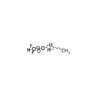 CCCCCC[C@H]1CC[C@@H]2CC(c3ccc(C(=O)Oc4cc(F)c(C#N)c(F)c4)cc3)CC[C@H]2C1